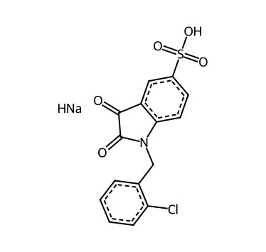 O=C1C(=O)N(Cc2ccccc2Cl)c2ccc(S(=O)(=O)O)cc21.[NaH]